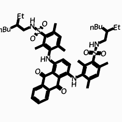 CCCCC(CC)CNS(=O)(=O)c1c(C)cc(C)c(Nc2ccc(Nc3c(C)cc(C)c(S(=O)(=O)NCC(CC)CCCC)c3C)c3c2C(=O)c2ccccc2C3=O)c1C